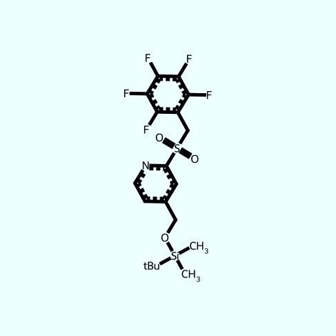 CC(C)(C)[Si](C)(C)OCc1ccnc(S(=O)(=O)Cc2c(F)c(F)c(F)c(F)c2F)c1